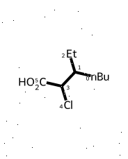 CCCCC(CC)C(Cl)C(=O)O